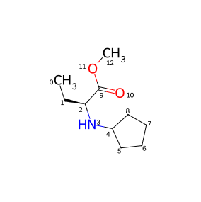 CC[C@H](NC1CCCC1)C(=O)OC